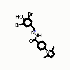 Cc1ccc(C)n1-c1ccc(C(=O)N/N=C/c2cc(Br)c(O)c(Br)c2)cc1